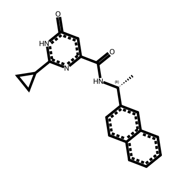 C[C@@H](NC(=O)c1cc(=O)[nH]c(C2CC2)n1)c1ccc2ccccc2c1